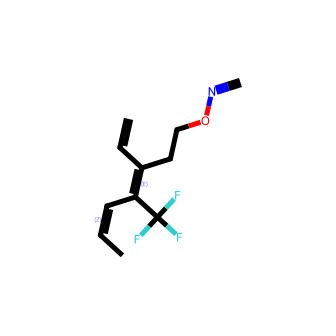 C=C/C(CCON=C)=C(\C=C/C)C(F)(F)F